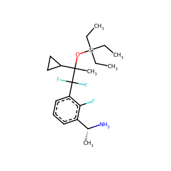 CC[Si](CC)(CC)OC(C)(C1CC1)C(F)(F)c1cccc([C@@H](C)N)c1F